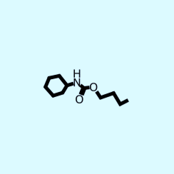 CCCCOC(=O)N[C]1CCCCC1